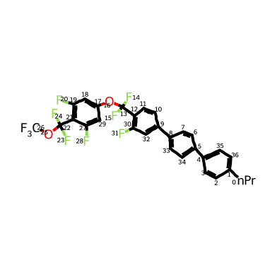 CCCc1ccc(-c2ccc(-c3ccc(C(F)(F)Oc4cc(F)c(C(F)(F)OC(F)(F)F)c(F)c4)c(F)c3)cc2)cc1